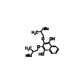 CCCCC(C)COc1c(OCC(C)CCCC)c(O)c2ccccc2c1O